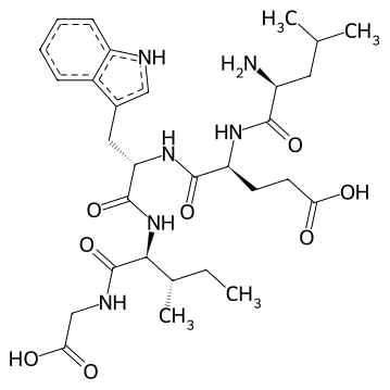 CC[C@H](C)[C@H](NC(=O)[C@H](Cc1c[nH]c2ccccc12)NC(=O)[C@H](CCC(=O)O)NC(=O)[C@@H](N)CC(C)C)C(=O)NCC(=O)O